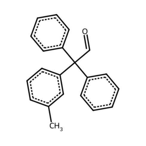 Cc1cccc(C(C=O)(c2ccccc2)c2ccccc2)c1